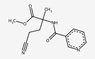 COC(=O)C(C)(CCC#N)NC(=O)c1cccnc1